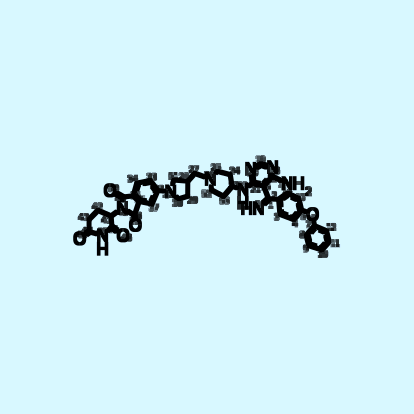 N=C(c1ccc(Oc2ccccc2)cc1)c1c(N)ncnc1NC1CCN(CC2CCN(c3ccc4c(c3)C(=O)N(C3CCC(=O)NC3=O)C4=O)C2)CC1